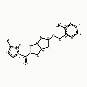 Cc1ccn(C(=O)N2CC3CC(OCc4ccccc4Cl)CC3C2)n1